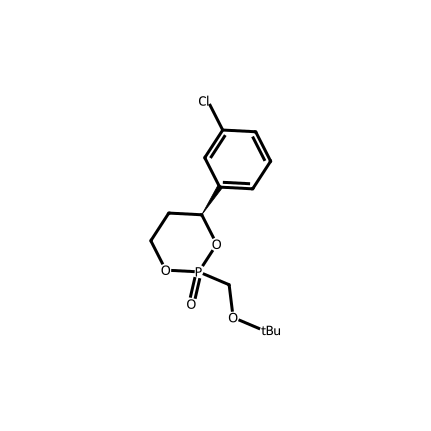 CC(C)(C)OCP1(=O)OCC[C@@H](c2cccc(Cl)c2)O1